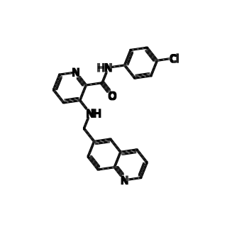 O=C(Nc1ccc(Cl)cc1)c1ncccc1NCc1ccc2ncccc2c1